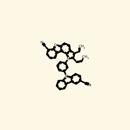 C=Cc1c(/C=C\C)n(-c2cccc(-n3c4ccccc4c4cc(C#N)ccc43)c2)c2c1ccc1oc3c(C#N)cccc3c12